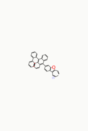 C=Cc1oc2cc(-c3c4ccccc4c(-c4ccccc4-c4ccccc4)c4ccccc34)ccc2c1/C=C\C